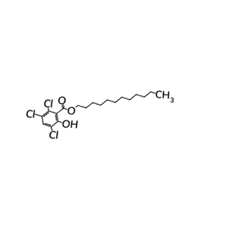 CCCCCCCCCCCCOC(=O)c1c(O)c(Cl)cc(Cl)c1Cl